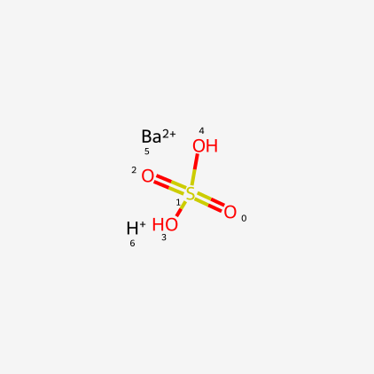 O=S(=O)(O)O.[Ba+2].[H+]